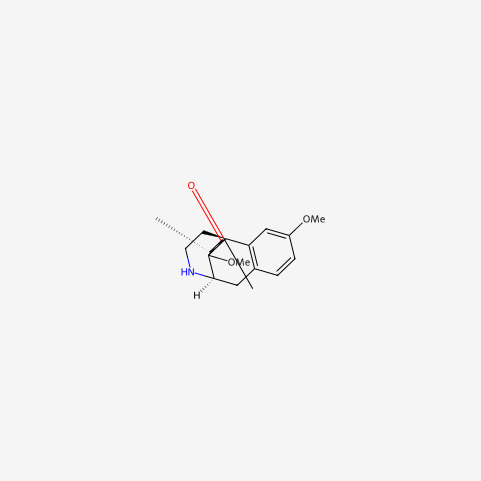 COc1ccc2c(c1)[C@]13CCN[C@H](C2)C1(OC)C[C@H](C)C(=O)C3